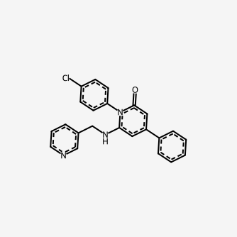 O=c1cc(-c2ccccc2)cc(NCc2cccnc2)n1-c1ccc(Cl)cc1